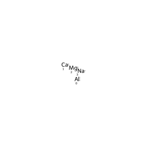 [Al].[Ca].[Mg].[Na]